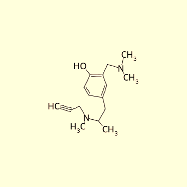 C#CCN(C)C(C)Cc1ccc(O)c(CN(C)C)c1